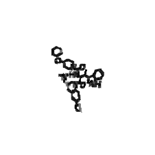 CC(c1c[nH]c2ccccc12)C(NC(=O)N1CCC(OC2=CCCC=C2)CC1)C(=O)N1C[C@@H](CN(C)C)Cc2cc(Cl)ccc21